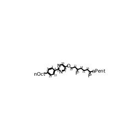 CCCCCCCCc1ccc(-c2ncc(OCCC(F)CCCC(F)CCCCC)cn2)cc1